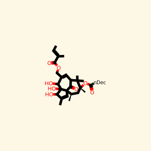 C/C=C(\C)C(=O)OCC1=CC2C(=O)C3(C=C(C)C(O)C3(O)C1O)[C@H](C)C[C@@](C)(OC(=O)CCCCCCCCCC)C2(C)C